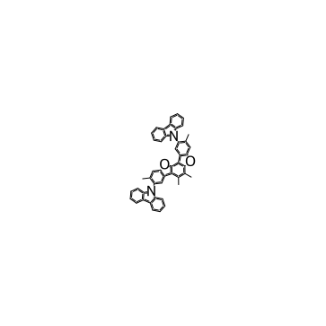 Cc1cc2oc3c(c(C)c(C)c4oc5cc(C)c(-n6c7ccccc7c7ccccc76)cc5c43)c2cc1-n1c2ccccc2c2ccccc21